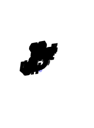 CC[C@@H]1C[C@H](C)CC/C=C\[C@@H]2C[C@@]2(C(=O)NS(=O)(=O)C2(CF)CC2)NC(=O)[C@@H]2C[C@@H](Oc3nc4c(c5ccccc35)CCCO4)CN2C(=O)[C@H]1NC(=O)OC(C)(C)C(C)(F)F